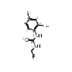 O=C(NCF)Nc1ccc(I)cc1F